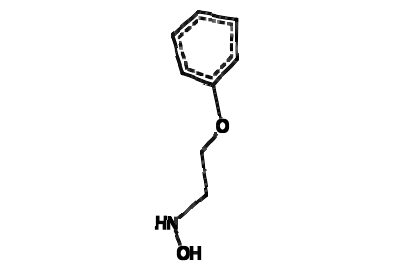 ONCCOc1ccccc1